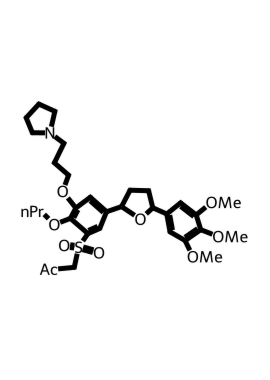 CCCOc1c(OCCCN2CCCC2)cc(C2CCC(c3cc(OC)c(OC)c(OC)c3)O2)cc1S(=O)(=O)CC(C)=O